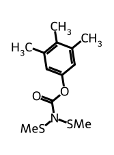 CSN(SC)C(=O)Oc1cc(C)c(C)c(C)c1